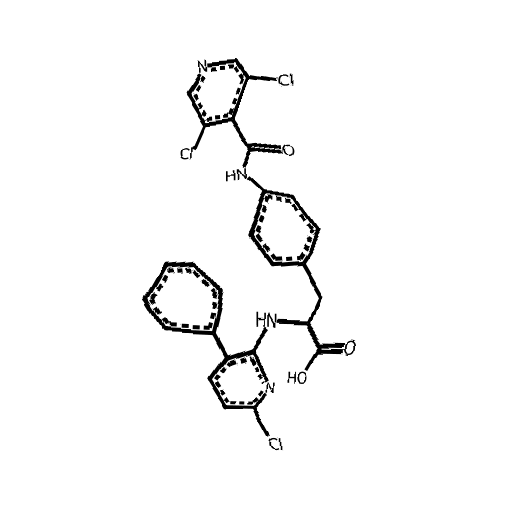 O=C(Nc1ccc(CC(Nc2nc(Cl)ccc2-c2ccccc2)C(=O)O)cc1)c1c(Cl)cncc1Cl